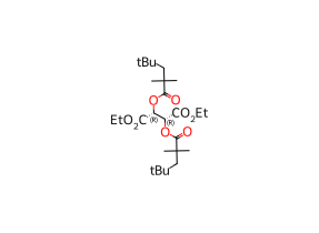 CCOC(=O)[C@H](OC(=O)C(C)(C)CC(C)(C)C)[C@@H](OC(=O)C(C)(C)CC(C)(C)C)C(=O)OCC